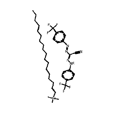 CCCCCCCCCCCCCCCCCC[N+](C)(C)C.N#CC(/N=N/c1ccc(C(F)(F)F)cc1)=N\Nc1ccc(C(F)(F)F)cc1